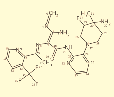 C=N/C(N)=C(\N=C(/C)c1ncccc1C(F)(F)F)C(=O)Nc1ncccc1N1CCC(C)(N)C(F)C1